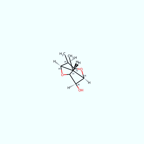 C[C@@H]1[C@@H]2OC3[C@H]1O[C@H]([C@H]2C)[C@H]3O